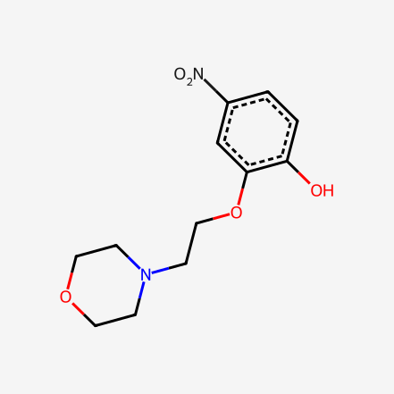 O=[N+]([O-])c1ccc(O)c(OCCN2CCOCC2)c1